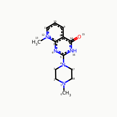 CN1CCN(c2nc3c(ccc[n+]3C)c(=O)[nH]2)CC1